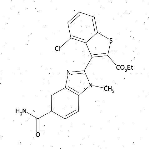 CCOC(=O)c1sc2cccc(Cl)c2c1-c1nc2cc(C(N)=O)ccc2n1C